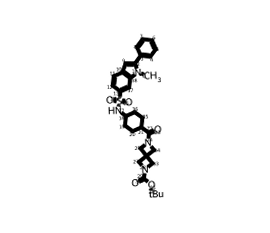 Cn1c(-c2ccccc2)cc2ccc(S(=O)(=O)NC3CCC(C(=O)N4CC5(CN(C(=O)OC(C)(C)C)C5)C4)CC3)cc21